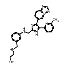 Cc1cccc(-c2[nH]c(CNc3cccc(CNCCO)c3)nc2-c2ccc3ncnn3c2)n1